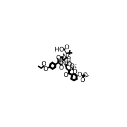 CCC(=O)Oc1ccc(C(N)C(=O)N(C(=O)Cc2c(=O)c3cccc(OC(=O)OC)c3o[n+]2[O-])[C@@H]2C(=O)N3[C@@H]2SC(C)(C)[C@@H]3C(=O)O)cc1